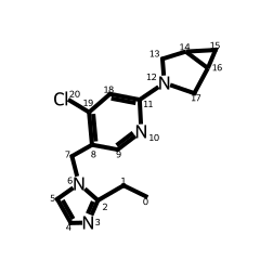 CCc1nccn1Cc1cnc(N2CC3CC3C2)cc1Cl